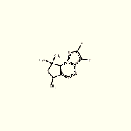 CC1CC(C)(C)c2c1cnc1c(F)c(F)nn21